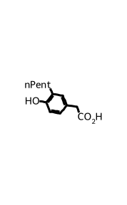 CCCCCc1cc(CC(=O)O)ccc1O